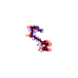 CCC(CC)CNC(=O)CNC(=O)CN[C@](C)(CC)C(=O)CN(CC(O)O)C(=O)CNC(O)CNC(=O)CN(CC(O)O)C(=O)CNC(=O)CNC(=O)CCCCC(=O)NCCCO[C@@H]1OC(CO)[C@@H](O[C@@H]2OC(CO[C@@H]3C[C@@H](O)[C@@H](N[C@H](C)O)C(C(O)C(O)CO)O3)[C@H](O)C(O)C2O)C(O)C1N[C@@H](C)O